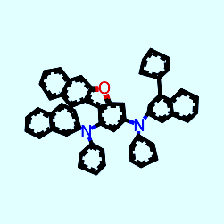 c1ccc(-c2cc(N(c3ccccc3)c3cc(N(c4ccccc4)c4ccc5ccccc5c4)c4c(c3)oc3cc5ccccc5cc34)cc3ccccc23)cc1